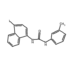 Cc1cccc(NC(=O)Nc2ccc(I)c3ccccc23)c1